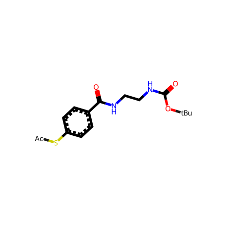 CC(=O)Sc1ccc(C(=O)NCCNC(=O)OC(C)(C)C)cc1